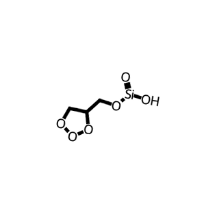 O=[Si](O)OCC1COOO1